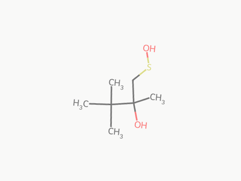 CC(C)(C)C(C)(O)CSO